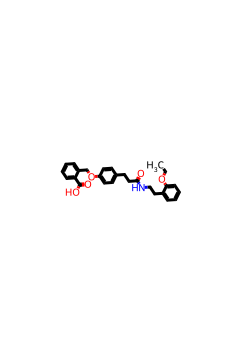 CCOc1ccccc1CCNC(=O)CCc1ccc(OCc2ccccc2C(=O)O)cc1